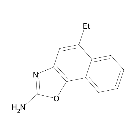 CCc1cc2nc(N)oc2c2ccccc12